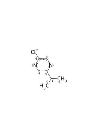 CC(C)c1cnc(Cl)cn1